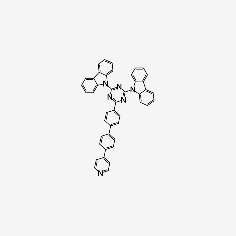 c1ccc2c(c1)c1ccccc1n2-c1nc(-c2ccc(-c3ccc(-c4ccncc4)cc3)cc2)nc(-n2c3ccccc3c3ccccc32)n1